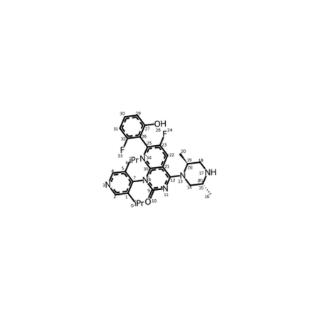 CC(C)c1cncc(C(C)C)c1-n1c(=O)nc(N2C[C@@H](C)NC[C@@H]2C)c2cc(F)c(-c3c(O)cccc3F)nc21